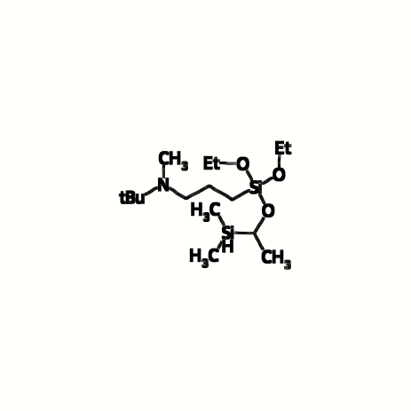 CCO[Si](CCCN(C)C(C)(C)C)(OCC)OC(C)[SiH](C)C